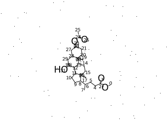 COC(=O)CCC(C)C1CCC2C3C(CC[C@]12C)[C@@]1(C)CC[C@@H](OC(C)=O)CC1C[C@H]3O